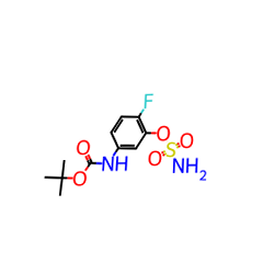 CC(C)(C)OC(=O)Nc1ccc(F)c(OS(N)(=O)=O)c1